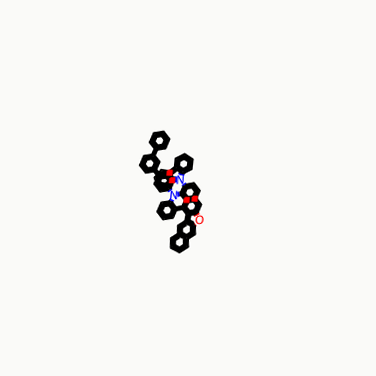 c1ccc(-c2cccc(-c3ccc(N(c4ccccc4-c4cccc5oc6cc7ccccc7cc6c45)c4ccccc4-n4c5ccccc5c5ccccc54)cc3)c2)cc1